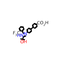 CC(C)(O)C1=CN(c2ccc(-c3ccc(C(=O)O)cc3)cc2)C(c2ccccc2C(F)(F)F)N1